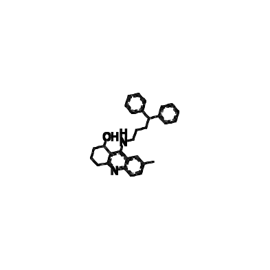 Cc1ccc2nc3c(c(NCCCC(c4ccccc4)c4ccccc4)c2c1)C(O)CCC3